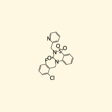 O=C1N(Cc2c(F)cccc2Cl)c2ccccc2S(=O)(=O)N1Cc1ccccn1